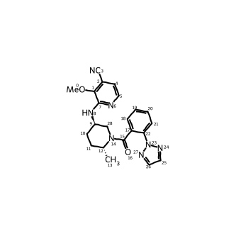 COc1c(C#N)ccnc1N[C@@H]1CC[C@@H](C)N(C(=O)c2ccccc2-n2nccn2)C1